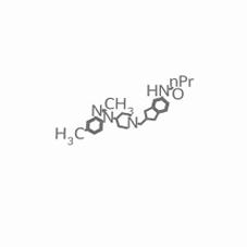 CCCC(=O)Nc1ccc2c(c1)CC(CN1CCC(n3c(C)nc4cc(C)ccc43)CC1)C2